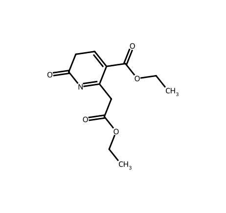 CCOC(=O)CC1=NC(=O)CC=C1C(=O)OCC